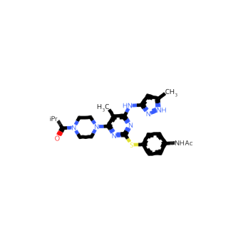 CC(=O)Nc1ccc(Sc2nc(Nc3cc(C)[nH]n3)c(C)c(N3CCN(C(=O)C(C)C)CC3)n2)cc1